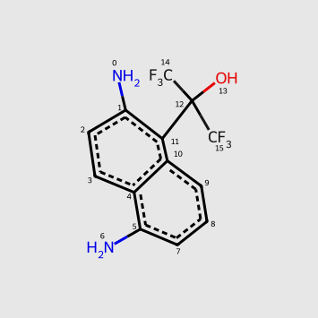 Nc1ccc2c(N)cccc2c1C(O)(C(F)(F)F)C(F)(F)F